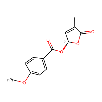 CCCOc1ccc(C(=O)O[C@H]2C=C(C)C(=O)O2)cc1